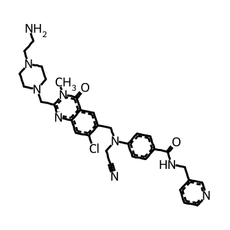 Cn1c(CN2CCN(CCN)CC2)nc2cc(Cl)c(CN(CC#N)c3ccc(C(=O)NCc4cccnc4)cc3)cc2c1=O